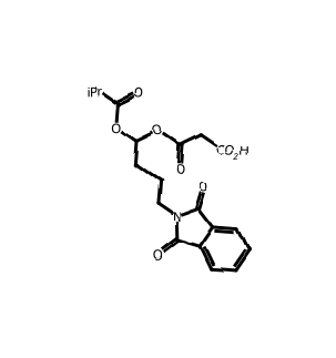 CC(C)C(=O)OC(CCCN1C(=O)c2ccccc2C1=O)OC(=O)CC(=O)O